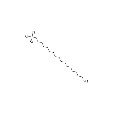 [SiH3]CCCCCCCCCCCCCCCCCC(Cl)(Cl)Cl